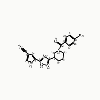 N#Cc1c[nH]c(-c2nc(C3CCCN(C(=O)c4ccc(F)cc4)C3)no2)c1